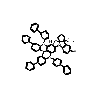 CC12CCCC1(C)N(c1cc3c4c(c1)N(c1cccc(-c5ccccc5)c1)c1cc(-c5ccccc5)ccc1B4c1cc(-c4ccccc4)ccc1N3c1ccc(-c3ccccc3)cc1)c1ccc(F)cc12